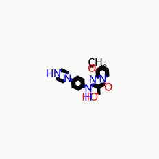 COc1cccn2c(=O)c(CO)c(Nc3ccc(N4CCNCC4)cc3)nc12